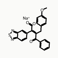 COc1ccc(C/C(C(=O)c2ccccc2)=C(\C(=O)[O-])c2ccc3nsnc3c2)cc1.[Na+]